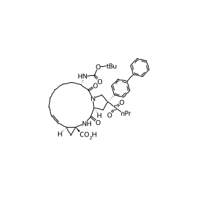 CCCS(=O)(=O)[C@@]1(c2ccc(-c3ccccc3)cc2)C[C@H]2C(=O)N[C@]3(C(=O)O)C[C@H]3/C=C\CCCCC[C@H](NC(=O)OC(C)(C)C)C(=O)N2C1